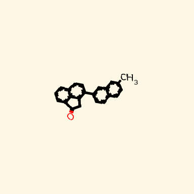 Cc1ccc2ccc(-c3ccc4cccc5c4c3CC5=O)cc2c1